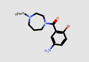 CCCCCN1CCCN(C(=O)c2cc(N)ccc2Br)CC1